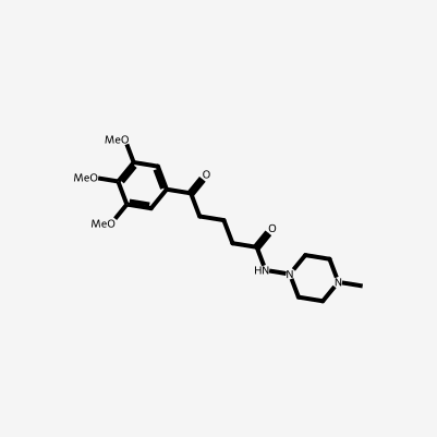 COc1cc(C(=O)CCCC(=O)NN2CCN(C)CC2)cc(OC)c1OC